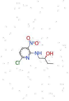 CC[C@H](O)CNc1nc(Cl)ccc1[N+](=O)[O-]